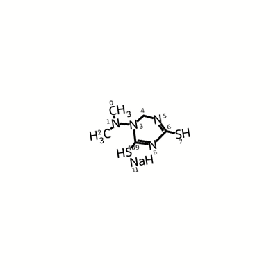 CN(C)N1CN=C(S)N=C1S.[NaH]